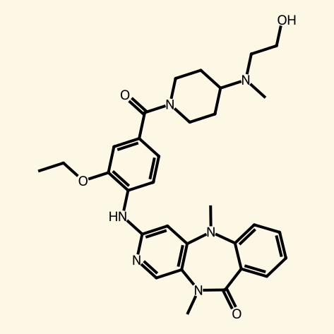 CCOc1cc(C(=O)N2CCC(N(C)CCO)CC2)ccc1Nc1cc2c(cn1)N(C)C(=O)c1ccccc1N2C